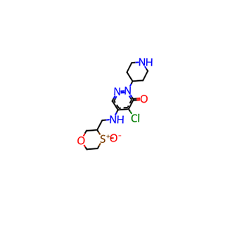 O=c1c(Cl)c(NCC2COCC[S+]2[O-])cnn1C1CCNCC1